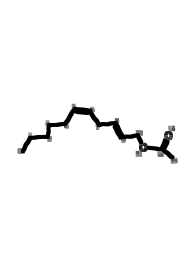 CCCCC/C=C\C/C=C/COC(C)=O